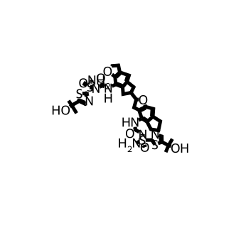 CC(C)(O)c1cnc(S(N)(=O)=NC(=O)Nc2c3c(cc4c2CC(C2Cc5cc6c(c(NC(=O)N=S(N)(=O)c7ncc(C(C)(C)O)s7)c5C2)OCC6)O4)CCC3)s1